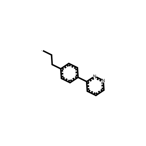 [CH2]CCc1ccc(-c2cccnn2)cc1